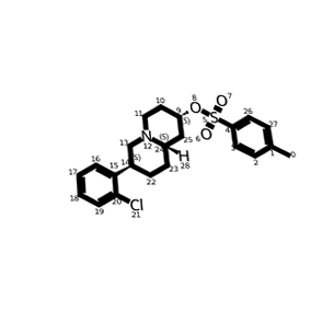 Cc1ccc(S(=O)(=O)O[C@H]2CCN3C[C@H](c4ccccc4Cl)CC[C@H]3C2)cc1